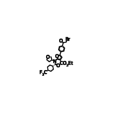 CCOC(=O)c1cc(-c2ccc(C(=O)CBr)cc2)oc1N(C(=O)[C@H]1CC[C@H](C(F)(F)F)CC1)C1CCOC1